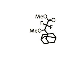 COC(=O)C(F)(F)C(OC)C12CC3CC(CC(C3)C1)C2